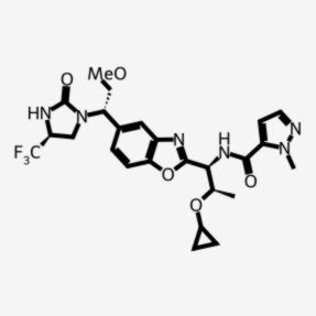 COC[C@H](c1ccc2oc([C@@H](NC(=O)c3ccnn3C)[C@@H](C)OC3CC3)nc2c1)N1C[C@@H](C(F)(F)F)NC1=O